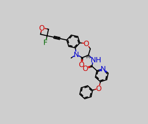 CN1C(=O)[C@H](NC(=O)c2cc(Oc3ccccc3)ccn2)COc2ccc(C#CC3(F)COC3)cc21